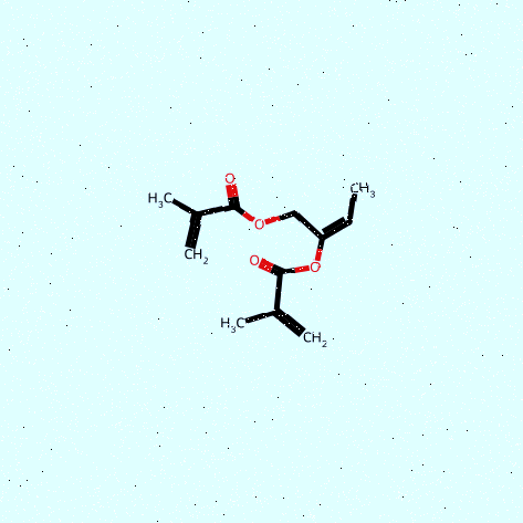 C=C(C)C(=O)OC/C(=C\C)OC(=O)C(=C)C